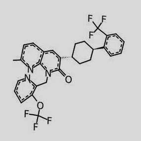 Cc1ccc2cc([C@H]3CC[C@H](c4ccccc4C(F)(F)F)CC3)c(=O)n(Cc3ncccc3OC(F)(F)F)c2n1